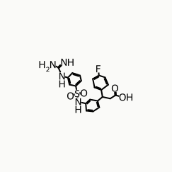 N=C(N)Nc1cccc(S(=O)(=O)Nc2cccc(C(CC(=O)O)c3ccc(F)cc3)c2)c1